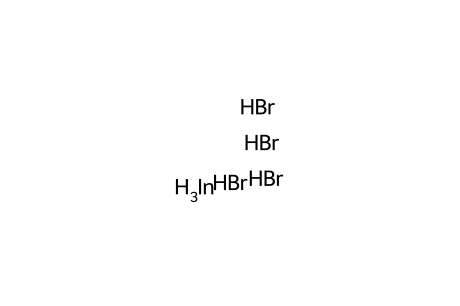 Br.Br.Br.Br.[InH3]